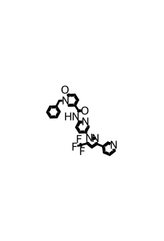 O=C(Nc1ccc(-n2nc(-c3cccnc3)cc2C(F)(F)F)cn1)c1ccc(=O)n(Cc2ccccc2)c1